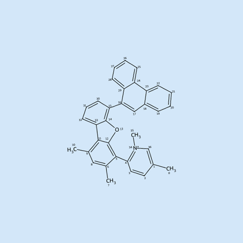 Cc1ccc(-c2c(C)cc(C)c3c2oc2c(-c4cc5ccccc5c5ccccc45)cccc23)[n+](C)c1